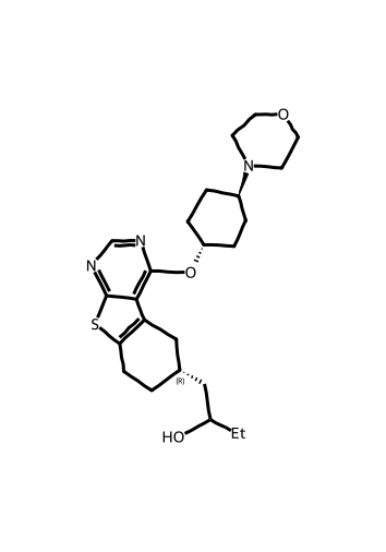 CCC(O)C[C@@H]1CCc2sc3ncnc(O[C@H]4CC[C@H](N5CCOCC5)CC4)c3c2C1